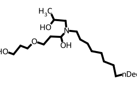 CCCCCCCCCCCCCCCCCCN(CC(C)O)C(O)CCOCCCO